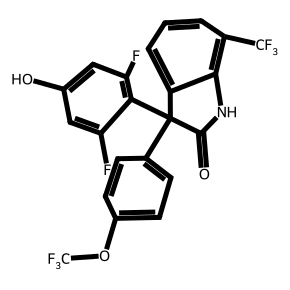 O=C1Nc2c(C(F)(F)F)cccc2C1(c1ccc(OC(F)(F)F)cc1)c1c(F)cc(O)cc1F